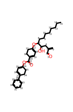 C=C(C=O)CC(O)C(CCCCCCCC)OC1=CC=C(C(=O)OC2=CC=C(c3ccccc3)CC2)CC1